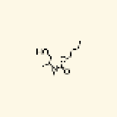 CCCCOC(=O)N(C)[C@@H](C)CO